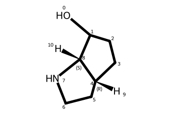 OC1CC[C@@H]2CCN[C@H]12